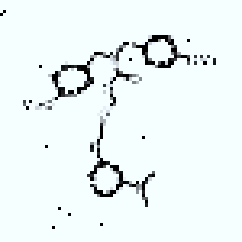 COc1ccc(CN(Cc2ccc(OC)cc2)C(=O)OCOCOc2cccc(N(C)C)c2)cc1